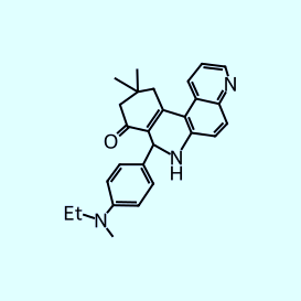 CCN(C)c1ccc(C2Nc3ccc4ncccc4c3C3=C2C(=O)CC(C)(C)C3)cc1